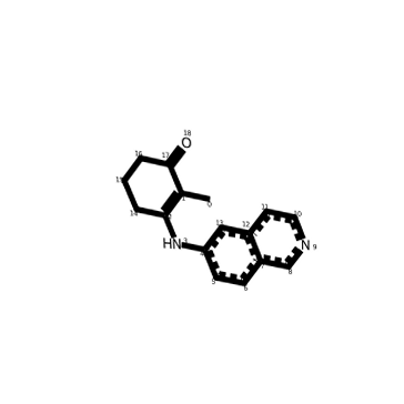 CC1=C(Nc2ccc3cnccc3c2)CCCC1=O